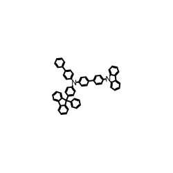 c1ccc(-c2ccc(N(c3ccc(-c4ccc(-n5c6ccccc6c6ccccc65)cc4)cc3)c3ccc(C4(c5ccccc5)c5ccccc5-c5ccccc54)cc3)cc2)cc1